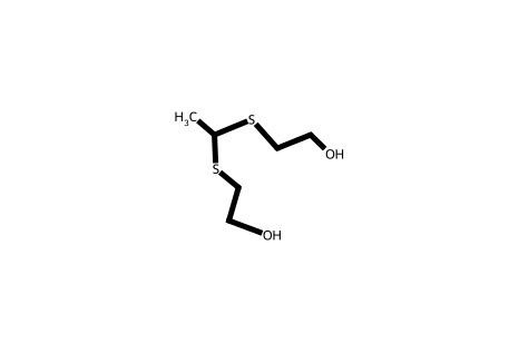 CC(SCCO)SCCO